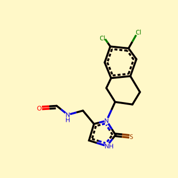 O=CNCc1c[nH]c(=S)n1C1CCc2cc(Cl)c(Cl)cc2C1